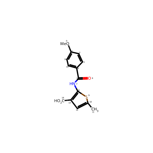 COc1ccc(C(=O)Nc2sc(C)cc2C(=O)O)cc1